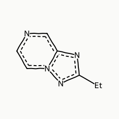 CCc1nc2cnccn2n1